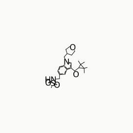 CC1(C)C(C(=O)c2cn(CC3CCOCC3)c3ccc(CNS(C)(=O)=O)cc23)C1(C)C